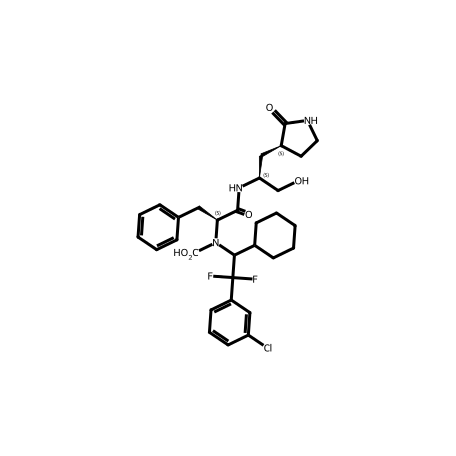 O=C1NCC[C@H]1C[C@@H](CO)NC(=O)[C@H](Cc1ccccc1)N(C(=O)O)C(C1CCCCC1)C(F)(F)c1cccc(Cl)c1